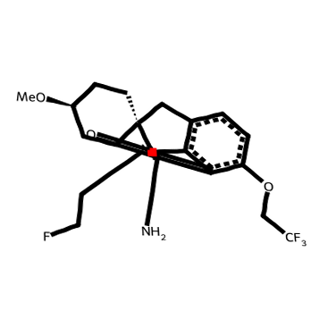 CO[C@H]1CC[C@]2(CC1)Cc1ccc(OCC(F)(F)F)cc1C21N=C(N)N(CCF)C1=O